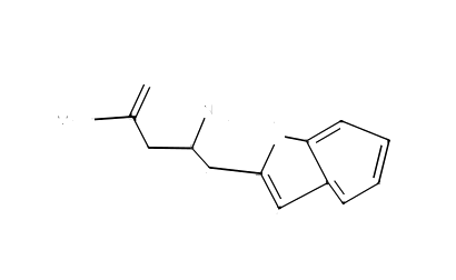 COC(=O)CC(N)Cc1cc2ccccc2s1